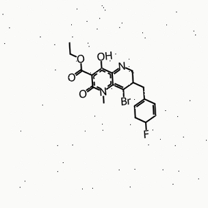 CCOC(=O)c1c(O)c2c(n(C)c1=O)=C(Br)C(CC1=CCC(F)C=C1)CN=2